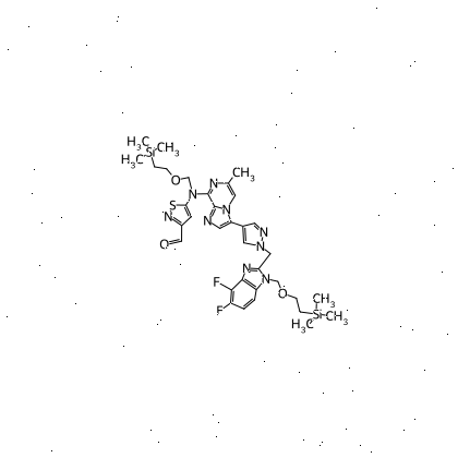 Cc1cn2c(-c3cnn(Cc4nc5c(F)c(F)ccc5n4COCC[Si](C)(C)C)c3)cnc2c(N(COCC[Si](C)(C)C)c2cc(C=O)ns2)n1